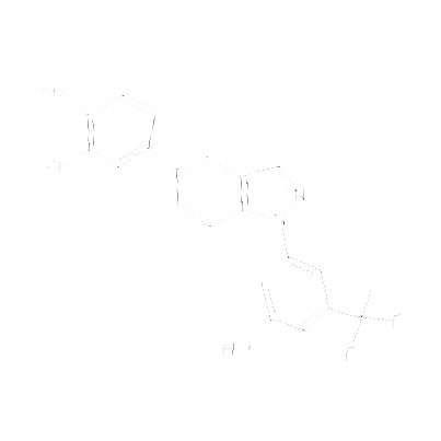 Oc1cc(-n2ncc3cc(-c4ccc(O)c(Cl)c4)ccc32)cc(C(F)(F)F)c1